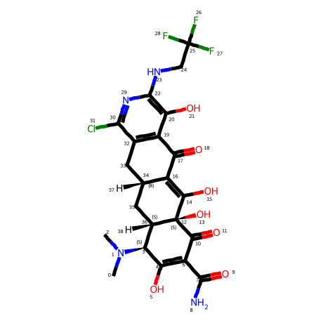 CN(C)[C@@H]1C(O)=C(C(N)=O)C(=O)[C@@]2(O)C(O)=C3C(=O)c4c(O)c(NCC(F)(F)F)nc(Cl)c4C[C@H]3C[C@@H]12